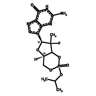 CC(C)OP1(=O)OC[C@H]2O[C@@H](n3cnc4c(=O)[nH]c(N)nc43)C(C)(F)C2O1